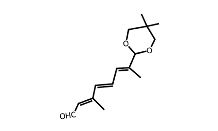 CC(/C=C/C=C(\C)C1OCC(C)(C)CO1)=C\C=O